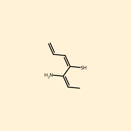 C=C/C=C(S)\C(N)=C/C